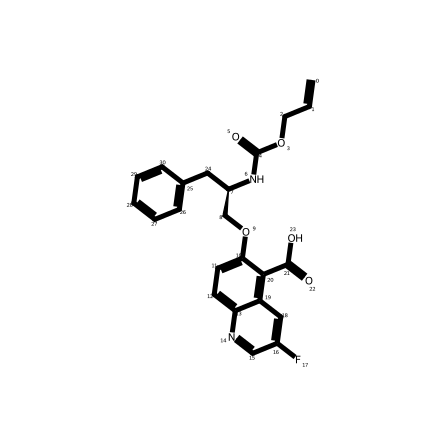 C=CCOC(=O)N[C@@H](COc1ccc2ncc(F)cc2c1C(=O)O)Cc1ccccc1